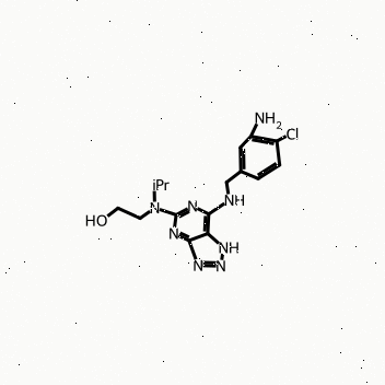 CC(C)N(CCO)c1nc(NCc2ccc(Cl)c(N)c2)c2[nH]nnc2n1